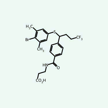 Cc1cc(SC(CCC(F)(F)F)c2ccc(C(=O)NCCC(=O)O)cc2)cc(C)c1Br